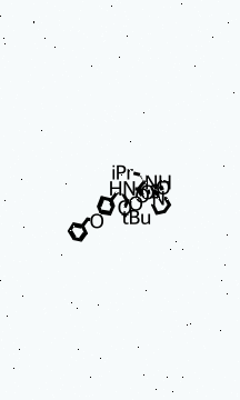 CC(C)C[C@H](NS(=O)(=O)N1CCCCC1)C(=O)N[C@@H](Cc1ccc(OCc2ccccc2)cc1)C(=O)OC(C)(C)C